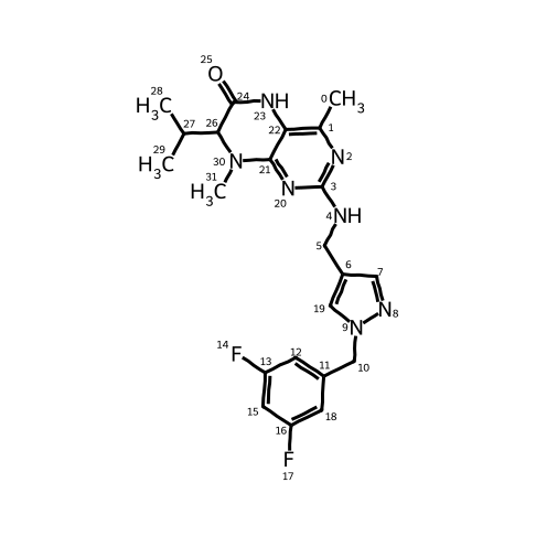 Cc1nc(NCc2cnn(Cc3cc(F)cc(F)c3)c2)nc2c1NC(=O)C(C(C)C)N2C